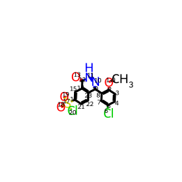 COc1ccc(Cl)cc1-c1n[nH]c(=O)c2cc(S(=O)(=O)Cl)ccc12